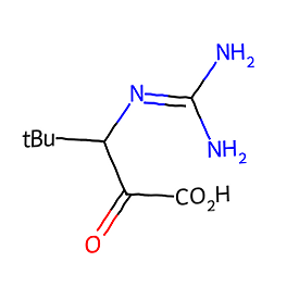 CC(C)(C)C(N=C(N)N)C(=O)C(=O)O